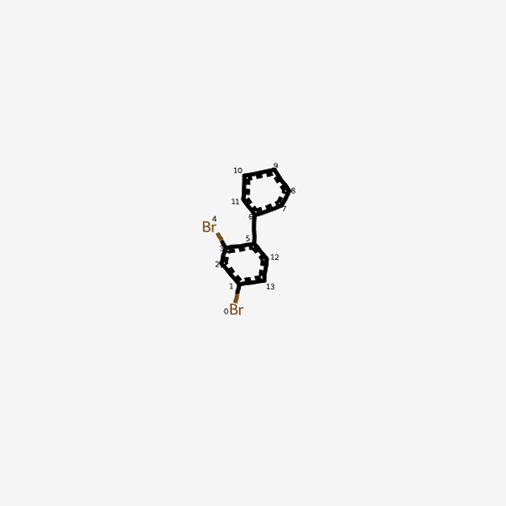 Brc1[c]c(Br)c(-c2c[c]ccc2)cc1